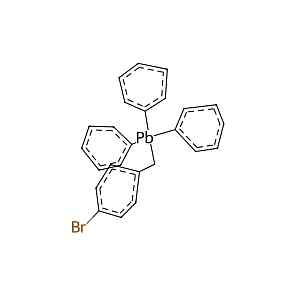 Brc1ccc([CH2][Pb]([c]2ccccc2)([c]2ccccc2)[c]2ccccc2)cc1